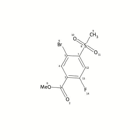 COC(=O)c1cc(Br)c(S(C)(=O)=O)cc1F